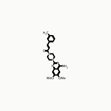 COc1cc2nc(N3CCN(C(=O)C=Cc4cccc(C)c4)CC3)nc(N)c2cc1OC